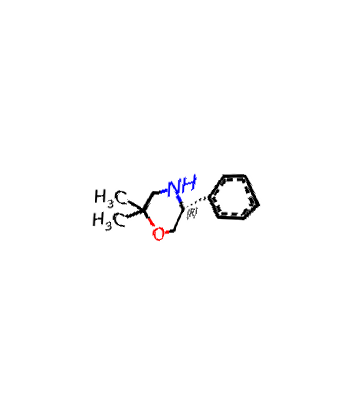 CC1(C)CN[C@H](c2ccccc2)CO1